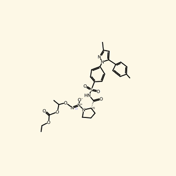 CCOC(=O)OC(C)O/N=[N+](\[O-])N1CCC[C@H]1C(=O)NS(=O)(=O)c1ccc(-n2nc(C)cc2-c2ccc(C)cc2)cc1